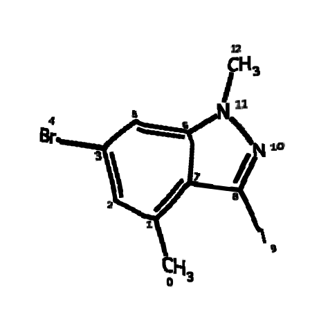 Cc1cc(Br)cc2c1c(I)nn2C